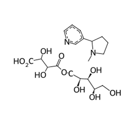 CN1CCCC1c1cccnc1.O=C(O)C(O)C(O)C(=O)OC[C@H](O)[C@@H](O)[C@H](O)CO